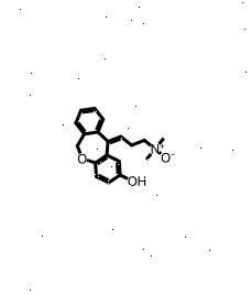 C[N+](C)([O-])CC/C=C1/c2ccccc2COc2ccc(O)cc21